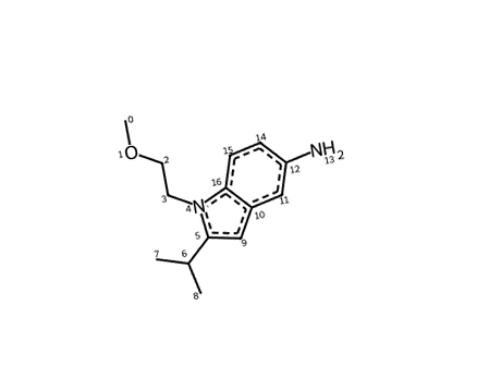 COCCn1c(C(C)C)cc2cc(N)ccc21